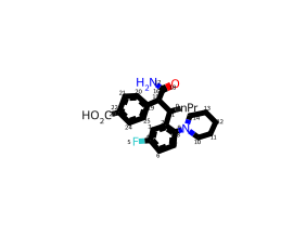 CCCC(c1cc(F)ccc1N1CCCCC1)C(C(N)=O)c1ccc(C(=O)O)cc1